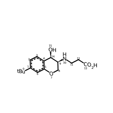 CC(C)(C)c1ccc2c(c1)OC[C@H](NCCC(=O)O)[C@@H]2O